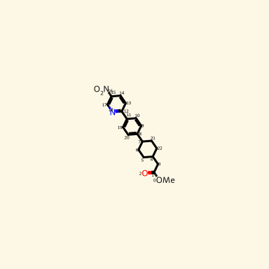 COC(=O)CC1CCC(c2ccc(-c3ccc([N+](=O)[O-])cn3)cc2)CC1